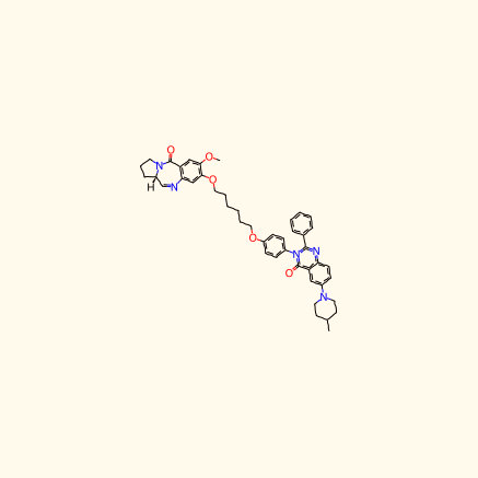 COc1cc2c(cc1OCCCCCCOc1ccc(-n3c(-c4ccccc4)nc4ccc(N5CCC(C)CC5)cc4c3=O)cc1)N=C[C@@H]1CCCN1C2=O